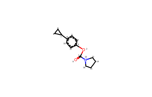 O=C(Oc1ccc(C2CC2)cc1)N1CCCC1